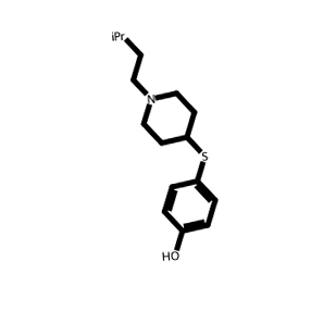 CC(C)CCN1CCC(Sc2ccc(O)cc2)CC1